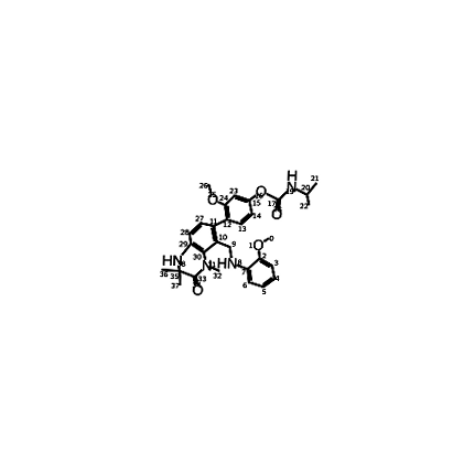 COc1ccccc1NCc1c(-c2ccc(OC(=O)NC(C)C)cc2OC)ccc2c1N(C)C(=O)C(C)(C)N2